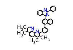 Cc1cnc2c(ccc3c(C)c(C)c(-c4cccc(-c5ccc(-c6nc(-c7ccccc7)nc7ccccc67)c6ccccc56)c4)nc32)c1C